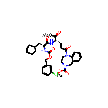 COC(=O)[C@H](CCC(=O)N1CCN(C(=O)OC(C)(C)C)Cc2ccccc21)NC(=O)[C@H](CC1CCCCC1)NC(=O)OCc1cccc(Cl)c1